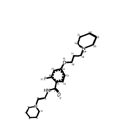 O=C(NCCN1CCCCC1)c1ccc(OCCCN2CCCCC2)cc1F